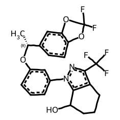 C[C@@H](Oc1cccc(-n2nc(C(F)(F)F)c3c2C(O)CCC3)c1)c1ccc2c(c1)OC(F)(F)O2